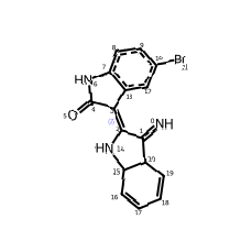 N=C1/C(=C2/C(=O)Nc3ccc(Br)cc32)NC2C=CC=CC12